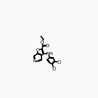 CCOC(=O)c1oc2cnccc2c1Nc1ccc(Cl)c(Cl)c1